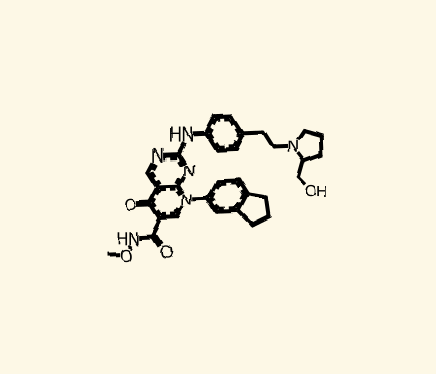 CONC(=O)c1cn(-c2ccc3c(c2)CCC3)c2nc(Nc3ccc(CCN4CCCC4CO)cc3)ncc2c1=O